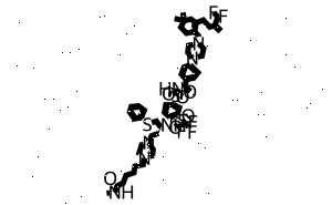 C=C(CCC1=C(CN2CCN(c3ccc(C(=O)NS(=O)(=O)c4ccc(N[C@H](CCN5CCN(CCCCCC(=O)NC)CC5)CSc5ccccc5)c(S(=O)(=O)C(F)(F)F)c4)cc3)CC2)CCC(C)(C)C1)C(F)F